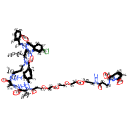 Cc1ccc(C(=O)N(CCCNC(=O)[C@H](C)NC(=O)[C@@H](NC(=O)CCOCCOCCOCCOCCNC(=O)CCN2C(=O)C=CC2=O)C(C)C)[C@@H](c2nc3cc(Cl)ccc3c(=O)n2Cc2ccccc2)C(C)C)cc1